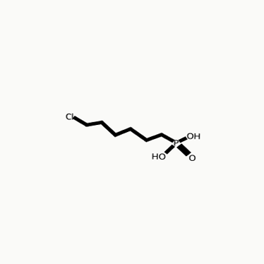 O=P(O)(O)CCCCCCCl